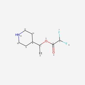 CCC(OC(=O)C(F)F)C1CCNCC1